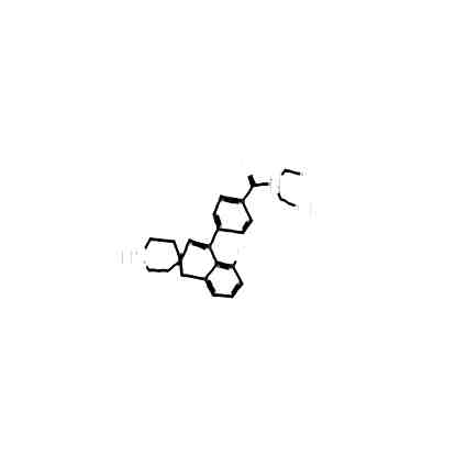 CCN(CC)C(=O)c1ccc(C2=CC3(CCNCC3)Cc3cccc(O)c32)cc1